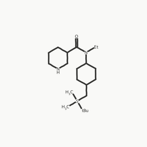 CCN(C(=O)C1CCCNC1)C1CCC(CS(C)(C)C(C)(C)C)CC1